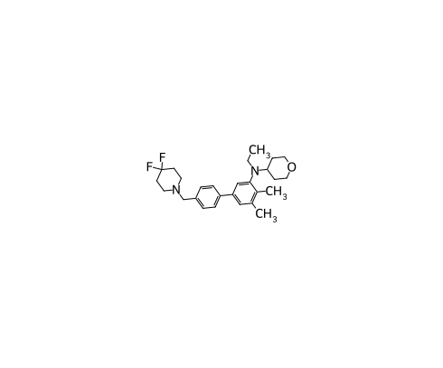 CCN(c1cc(-c2ccc(CN3CCC(F)(F)CC3)cc2)cc(C)c1C)C1CCOCC1